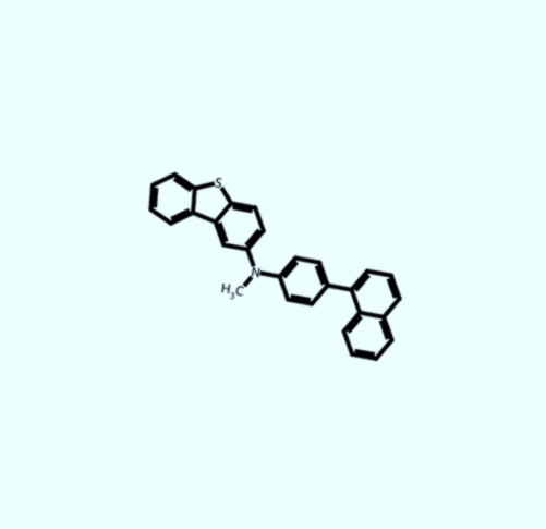 CN(c1ccc(-c2cccc3ccccc23)cc1)c1ccc2sc3ccccc3c2c1